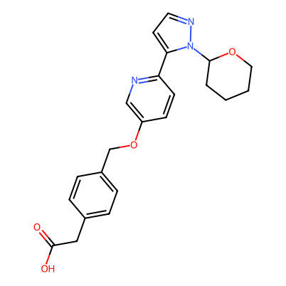 O=C(O)Cc1ccc(COc2ccc(-c3ccnn3C3CCCCO3)nc2)cc1